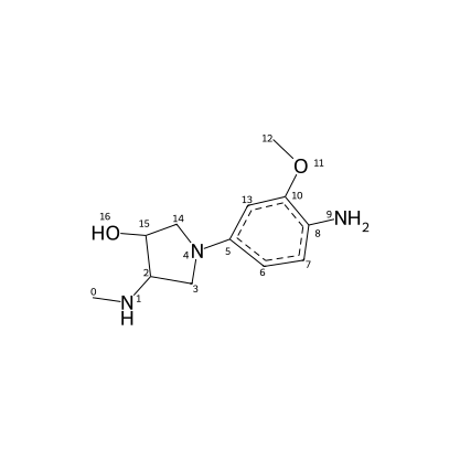 CNC1CN(c2ccc(N)c(OC)c2)CC1O